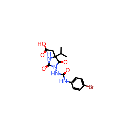 CC(C)C1(CC(=O)O)NC(=O)N(NC(=O)Nc2ccc(Br)cc2)C1=O